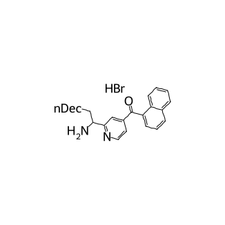 Br.CCCCCCCCCCCC(N)c1cc(C(=O)c2cccc3ccccc23)ccn1